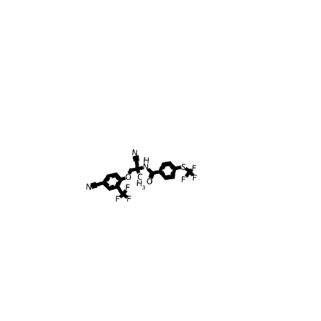 CC(C#N)(COc1ccc(C#N)cc1C(F)(F)F)NC(=O)c1ccc(SC(F)(F)F)cc1